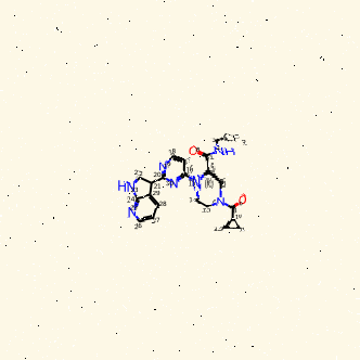 O=C(NCC(F)(F)F)[C@H]1CN(C(=O)C2CC2)CCN1c1ccnc(C2CNc3ncccc32)n1